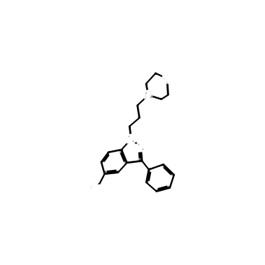 Clc1ccc2c(c1)c(-c1ccccc1)nn2CCCN1CCOCC1